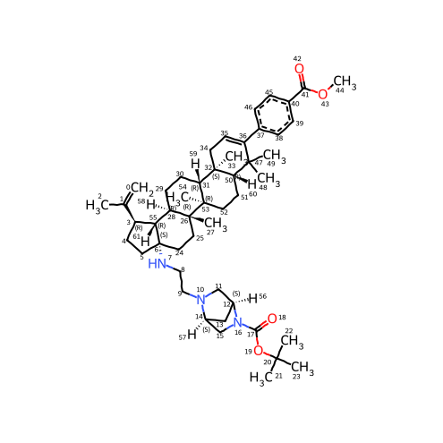 C=C(C)[C@@H]1CC[C@]2(NCCN3C[C@@H]4C[C@H]3CN4C(=O)OC(C)(C)C)CC[C@]3(C)[C@H](CC[C@@H]4[C@@]5(C)CC=C(c6ccc(C(=O)OC)cc6)C(C)(C)[C@@H]5CC[C@]43C)[C@@H]12